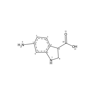 Nc1ccc2c(c1)NCC2C(=O)O